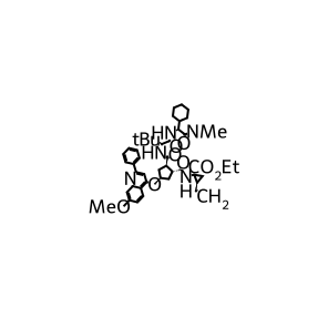 C=C[C@@H]1C[C@]1(NC(=O)[C@@H]1C[C@@H](Oc2cc(-c3ccccc3)nc3cc(OC)ccc23)C[C@H]1C(=O)N[C@H](C(=O)N[C@H](C(=O)NC)C1CCCCC1)C(C)(C)C)C(=O)OCC